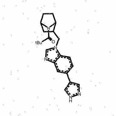 CC(C)(C)C(=O)N1C2CCC1C(Cn1cnc3cc(-c4cn[nH]c4)ccc31)C2